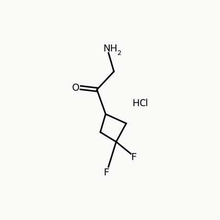 Cl.NCC(=O)C1CC(F)(F)C1